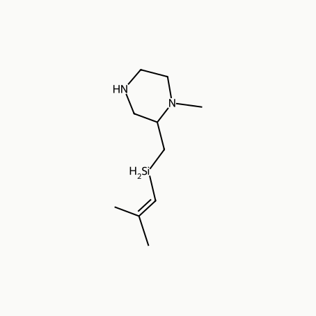 CC(C)=C[SiH2]CC1CNCCN1C